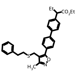 CCOC(=O)C(CC)c1ccc(-c2ccc(-c3onc(C)c3CSCCc3ccccc3)cc2)cc1